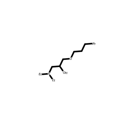 CCN(CC)CC(O)COCCCC(C)C